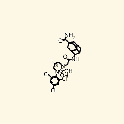 C[C@@H]1CN(CC(=O)NC2C3CC4CC2CC(C(N)=O)(C4)C3)S(O)(O)N(c2c(Cl)cc(Cl)cc2Cl)C1